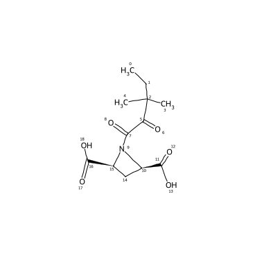 CCC(C)(C)C(=O)C(=O)N1[C@@H](C(=O)O)C[C@H]1C(=O)O